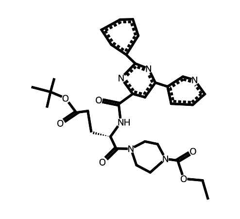 CCOC(=O)N1CCN(C(=O)[C@H](CCC(=O)OC(C)(C)C)NC(=O)c2cc(-c3cccnc3)nc(-c3ccccc3)n2)CC1